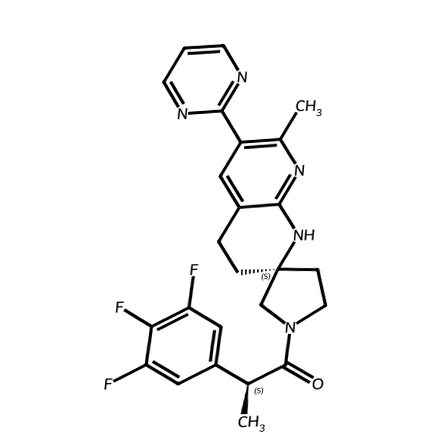 Cc1nc2c(cc1-c1ncccn1)CC[C@@]1(CCN(C(=O)[C@@H](C)c3cc(F)c(F)c(F)c3)C1)N2